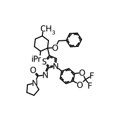 CC1CCC(C(C)C)C(OCc2ccccc2)(c2cn(-c3ccc4c(c3)OC(F)(F)O4)c(=NC(=O)N3CCCC3)s2)C1